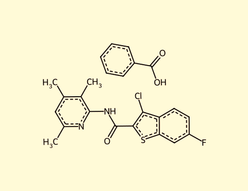 Cc1cc(C)c(C)c(NC(=O)c2sc3cc(F)ccc3c2Cl)n1.O=C(O)c1ccccc1